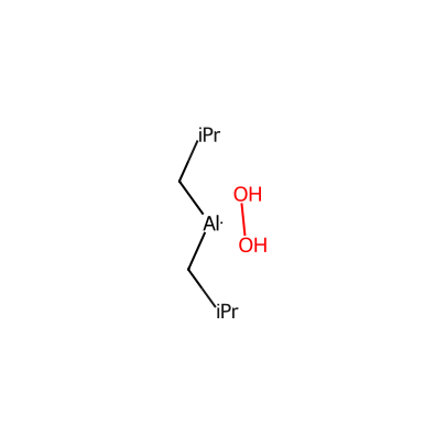 CC(C)[CH2][Al][CH2]C(C)C.OO